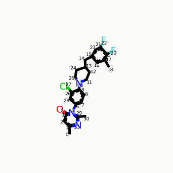 Cc1cc(=O)n(-c2ccc(N3CCC(Cc4cc(C)c(F)c(F)c4)CC3)c(Cl)c2)c(C)n1